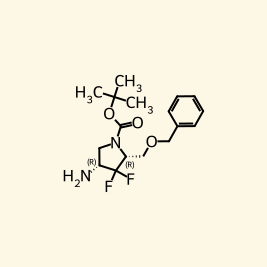 CC(C)(C)OC(=O)N1C[C@@H](N)C(F)(F)[C@H]1COCc1ccccc1